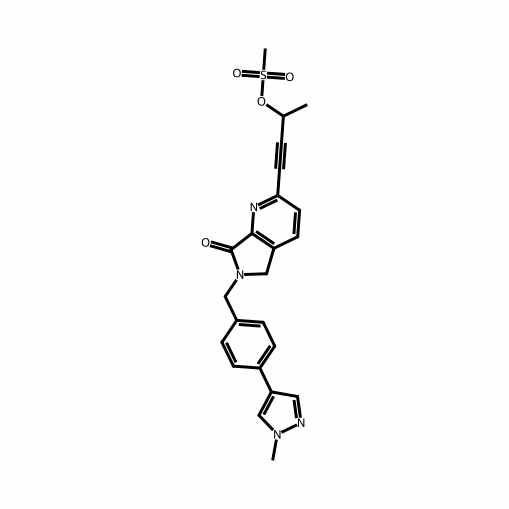 CC(C#Cc1ccc2c(n1)C(=O)N(Cc1ccc(-c3cnn(C)c3)cc1)C2)OS(C)(=O)=O